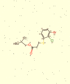 CCCCC(CC)COC(=O)CCSc1cccc(Br)c1Cl